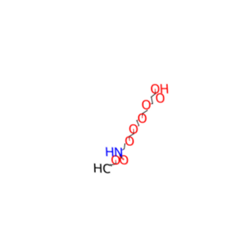 C#CCOC(=O)NCCOCCOCCOCCOCCC(=O)O